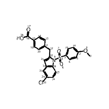 COc1ccc(S(=O)(=O)n2c(Cc3ccc(C(=O)O)cc3)cc3cc(Cl)ccc32)cc1